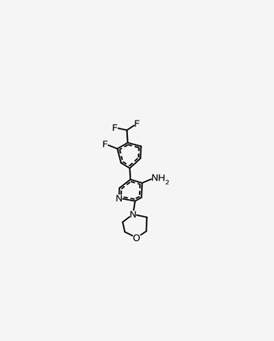 Nc1cc(N2CCOCC2)ncc1-c1ccc(C(F)F)c(F)c1